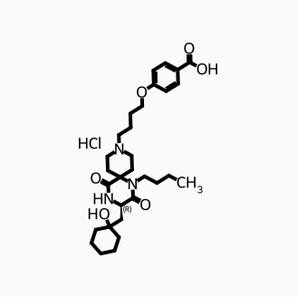 CCCCN1C(=O)[C@@H](CC2(O)CCCCC2)NC(=O)C12CCN(CCCCOc1ccc(C(=O)O)cc1)CC2.Cl